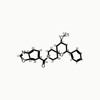 CCOC1CC(c2ccccc2)OC2(CCN(C(=O)c3ccc4ncoc4c3)CC2)C1